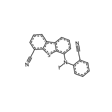 N#Cc1ccccc1N(I)c1cccc2c1sc1c(C#N)cccc12